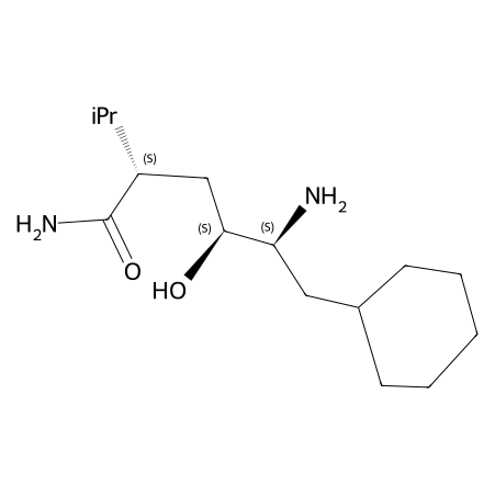 CC(C)[C@H](C[C@H](O)[C@@H](N)CC1CCCCC1)C(N)=O